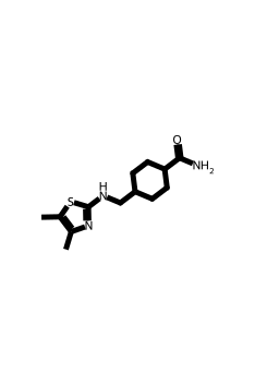 Cc1nc(NCC2CCC(C(N)=O)CC2)sc1C